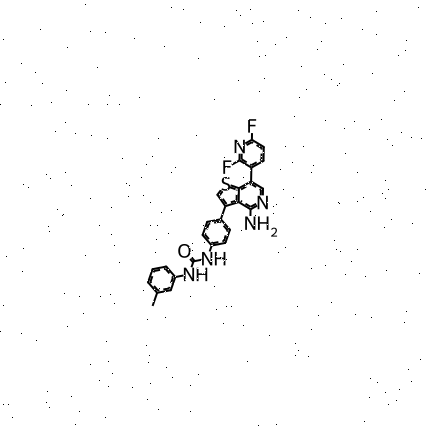 Cc1cccc(NC(=O)Nc2ccc(-c3csc4c(-c5ccc(F)nc5F)cnc(N)c34)cc2)c1